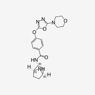 O=C(N[C@@H]1C[C@H]2CC[C@@H]1N2)c1ccc(Oc2nnc(N3CCOCC3)o2)cc1